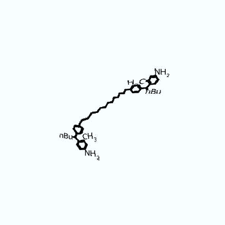 CCCCC(c1ccc(CCCCCCCCCCCCCc2ccc(C(CCCC)c3ccc(N)cc3C)cc2)cc1)c1ccc(N)cc1C